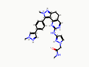 CNC(=O)Cn1ccc(Nc2ncc3c(n2)-c2c(nn(C)c2-c2ccc(-c4cnn(C)c4)cc2)CC3)n1